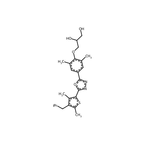 Cc1cc(-c2nnc(-c3sc(C)c(CC(C)C)c3C)o2)cc(C)c1OCC(O)CO